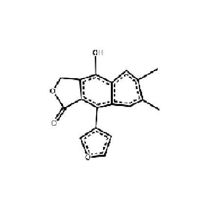 Cc1cc2c(O)c3c(c(-c4ccoc4)c2cc1C)C(=O)OC3